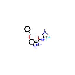 CN/C(C(=O)NC1CN(C)CC1(F)F)=C1/C=C(OCc2ccccc2)C=CC1=N